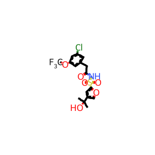 CC(C)(O)c1coc(S(=O)(=O)NC(=O)Cc2cc(Cl)cc(OC(F)(F)F)c2)c1